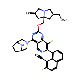 C#Cc1c(F)ccc2cccc(-c3ncc4c(N5CC6CCC(C5)N6)nc(OCC56CC(=C)CN5C[C@@H](COC)C6)nc4c3F)c12